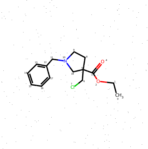 CCOC(=O)C1(CCl)CCN(Cc2ccccc2)C1